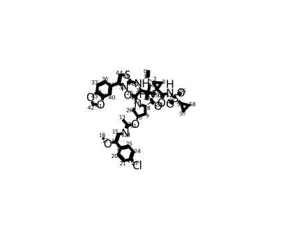 C=C[C@@H]1C[C@]1(NC(=O)[C@@H]1C[C@@H](O/C(C)=N/C=C(/OC)c2ccc(Cl)cc2)CN1C(=O)[C@@H](Nc1nc(-c2ccc3c(c2)OCO3)cs1)C(C)(C)C)C(=O)NS(=O)(=O)C1CC1